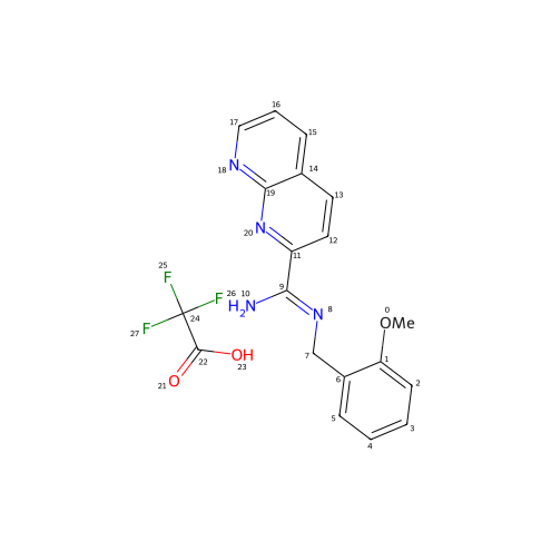 COc1ccccc1CN=C(N)c1ccc2cccnc2n1.O=C(O)C(F)(F)F